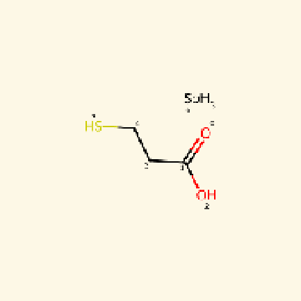 O=C(O)CCS.[SbH3]